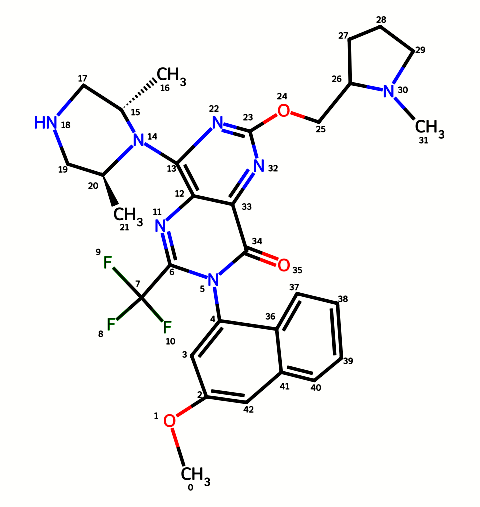 COc1cc(-n2c(C(F)(F)F)nc3c(N4[C@@H](C)CNC[C@@H]4C)nc(OCC4CCCN4C)nc3c2=O)c2ccccc2c1